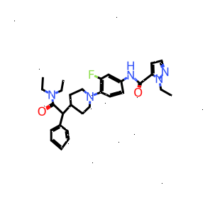 CCN(CC)C(=O)C(c1ccccc1)C1CCN(c2ccc(NC(=O)c3ccnn3CC)cc2F)CC1